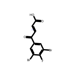 O=C(O)/C=C/C(=O)c1cc(Br)c(F)c(Br)c1